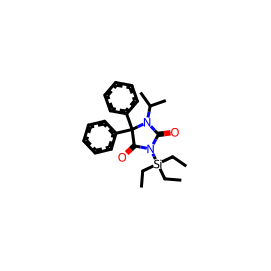 CC[Si](CC)(CC)N1C(=O)N(C(C)C)C(c2ccccc2)(c2ccccc2)C1=O